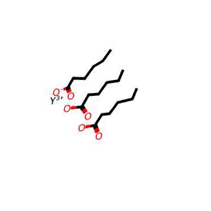 CCCCCC(=O)[O-].CCCCCC(=O)[O-].CCCCCC(=O)[O-].[Y+3]